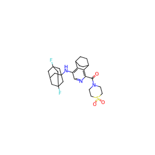 O=C(c1ncc(NC23CC4CC(F)(CC(F)(C4)C2)C3)c2c1C1CCC2CC1)N1CCS(=O)(=O)CC1